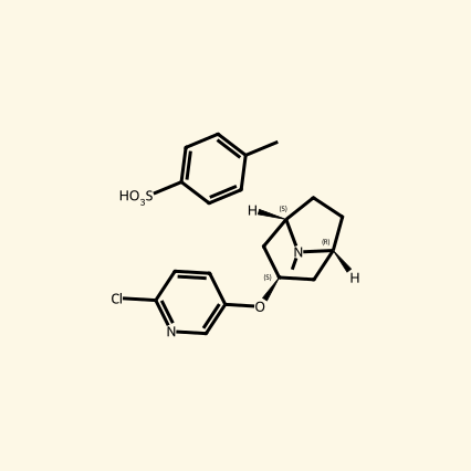 CN1[C@@H]2CC[C@H]1C[C@H](Oc1ccc(Cl)nc1)C2.Cc1ccc(S(=O)(=O)O)cc1